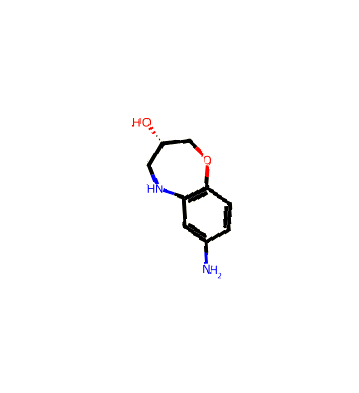 Nc1ccc2c(c1)NC[C@H](O)CO2